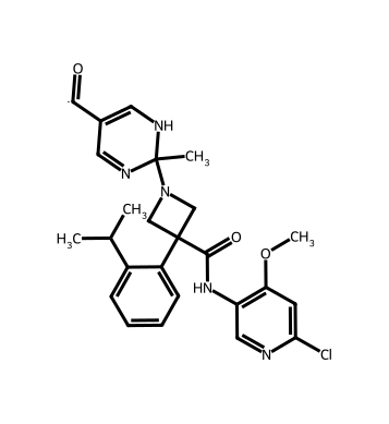 COc1cc(Cl)ncc1NC(=O)C1(c2ccccc2C(C)C)CN(C2(C)N=CC([C]=O)=CN2)C1